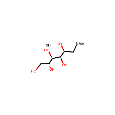 CNC[C@H](O)[C@@H](O)[C@H](O)[C@H](O)CO.[KH]